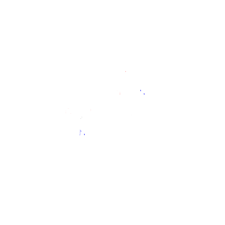 O=C(OC1CCCCC1OC(=O)N(c1ccccc1)c1ccccc1)N(c1ccccc1)c1ccccc1